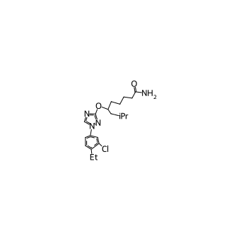 CCc1ccc(-n2cnc(OC(CCCCC(N)=O)CC(C)C)n2)cc1Cl